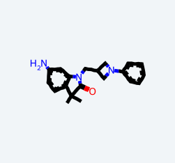 CC1(C)C(=O)N(CC2CN(c3ccccc3)C2)c2cc(N)ccc21